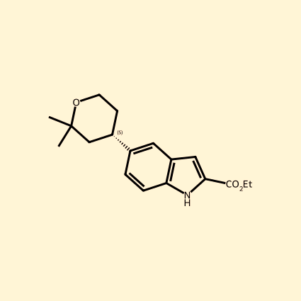 CCOC(=O)c1cc2cc([C@H]3CCOC(C)(C)C3)ccc2[nH]1